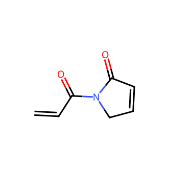 C=CC(=O)N1CC=CC1=O